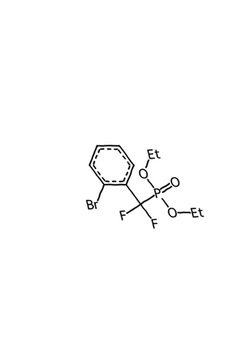 CCOP(=O)(OCC)C(F)(F)c1ccccc1Br